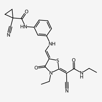 CCNC(=O)C(C#N)=c1sc(=CNc2cccc(NC(=O)C3(C#N)CC3)c2)c(=O)n1CC